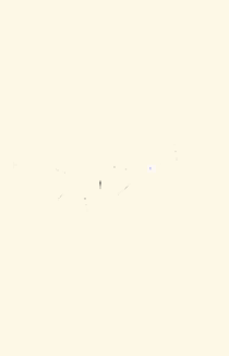 CCOC(=O)/C=C/c1ccc(C(=O)c2ccc(O)cc2)cc1